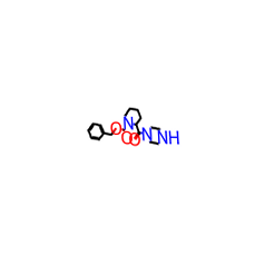 O=C(C1CCCCN1C(=O)OCc1ccccc1)N1CCNCC1